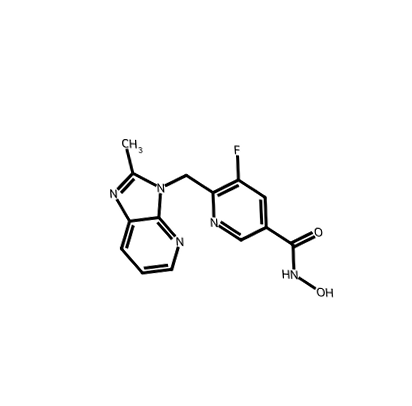 Cc1nc2cccnc2n1Cc1ncc(C(=O)NO)cc1F